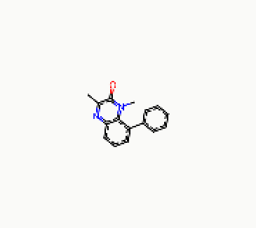 Cc1nc2cccc(-c3ccccc3)c2n(C)c1=O